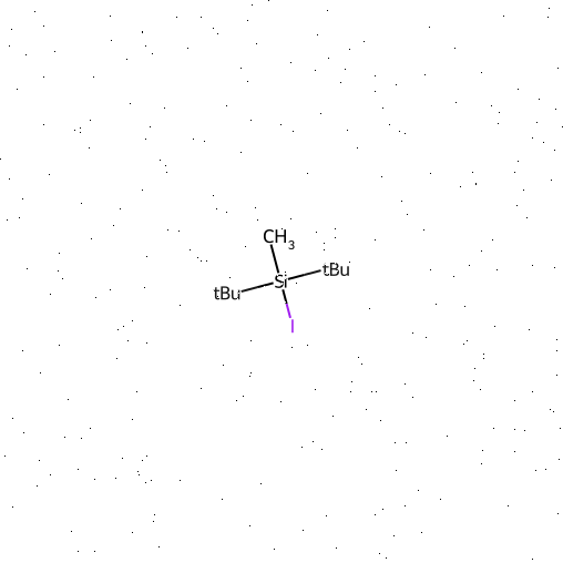 CC(C)(C)[Si](C)(I)C(C)(C)C